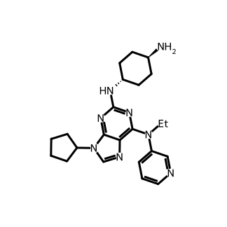 CCN(c1cccnc1)c1nc(N[C@H]2CC[C@H](N)CC2)nc2c1ncn2C1CCCC1